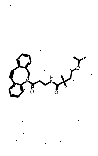 CC(C)OCCC(C)(C)C(=O)NCCC(=O)N1Cc2ccccc2C#Cc2ccccc21